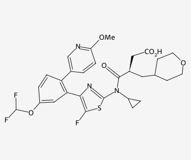 COc1ccc(-c2ccc(OC(F)F)cc2-c2nc(N(C(=O)[C@@H](CC(=O)O)CC3CCOCC3)C3CC3)sc2F)cn1